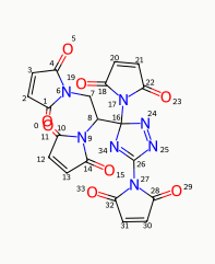 O=C1C=CC(=O)N1CC(N1C(=O)C=CC1=O)C1(N2C(=O)C=CC2=O)N=NC(N2C(=O)C=CC2=O)=N1